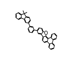 CC1(C)c2ccccc2-c2cc(-c3cccc(-c4ccc5oc6c(ccc7c8ccccc8c8ccccc8c76)c5c4)c3)ccc21